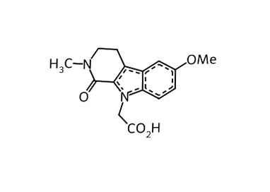 COc1ccc2c(c1)c1c(n2CC(=O)O)C(=O)N(C)CC1